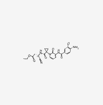 CCOC(=O)C[C@@H](C#N)NC(=O)C1(n2cccc(NC(=O)c3ccc(N)c(Cl)c3)c2=O)CC1